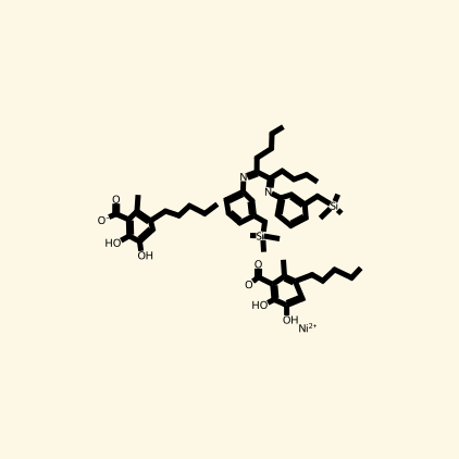 CCCCC(=Nc1cccc(C[Si](C)(C)C)c1)C(CCCC)=Nc1cccc(C[Si](C)(C)C)c1.CCCCCc1cc(O)c(O)c(C(=O)[O-])c1C.CCCCCc1cc(O)c(O)c(C(=O)[O-])c1C.[Ni+2]